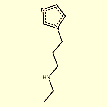 CCNCCCn1ccnc1